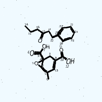 CC1=C2OC2(C(=O)O)CC(C(=O)O)=C1.CCCC(=O)CCc1ccccc1